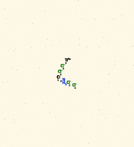 N.[C].[Cl-].[Cl-].[Cl-].[Cl-].[Ti+4]